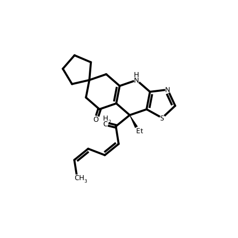 C=C(/C=C\C=C/C)[C@]1(CC)C2=C(CC3(CCCC3)CC2=O)Nc2ncsc21